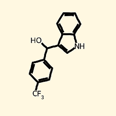 OC(c1ccc(C(F)(F)F)cc1)c1c[nH]c2ccccc12